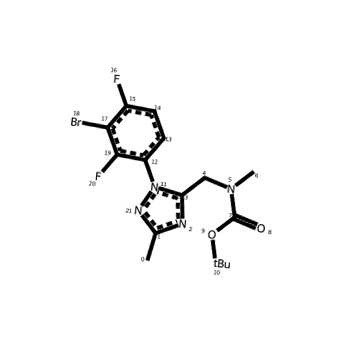 Cc1nc(CN(C)C(=O)OC(C)(C)C)n(-c2ccc(F)c(Br)c2F)n1